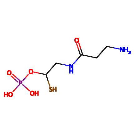 NCCC(=O)NCC(S)OP(=O)(O)O